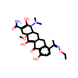 CCO/N=C(/C)c1ccc(O)c2c1CC1CC3[C@H](N(C)C)C(O)=C(C(N)=O)C[C@@]3(OC)C(O)=C1C2=O